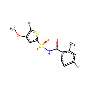 COc1cc(S(=O)(=O)NC(=O)c2ccc(Br)cc2C)sc1Br